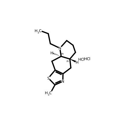 CCCN1CCC[C@@H]2Cc3nc(C)sc3C[C@H]21.Cl.Cl